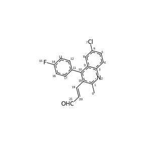 Cc1nc2ccc(Cl)cc2c(-c2ccc(F)cc2)c1C=CC=O